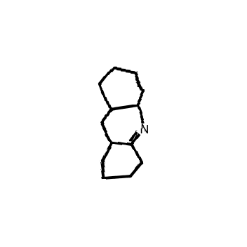 C1CCC2CC3CCCCC3N=C2C1